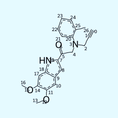 C#CCN(CC(=O)c1cc2cc(OC)c(OC)cc2[nH]1)c1ccccc1C